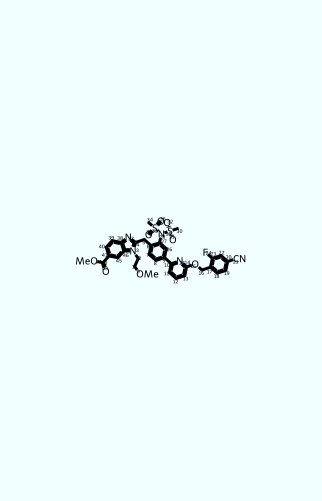 COCCn1c(Cc2ccc(-c3cccc(OCc4ccc(C#N)cc4F)n3)cc2N(S(C)(=O)=O)S(C)(=O)=O)nc2ccc(C(=O)OC)cc21